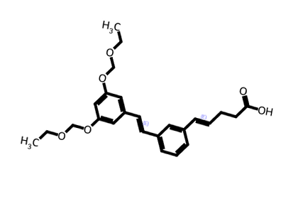 CCOCOc1cc(/C=C/c2cccc(/C=C/CCC(=O)O)c2)cc(OCOCC)c1